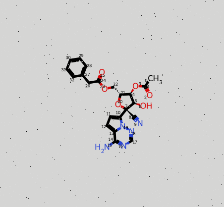 CC(=O)O[C@H]1[C@@H](O)[C@](C#N)(c2ccc3c(N)ncnn23)O[C@@H]1COC(=O)Cc1ccccc1